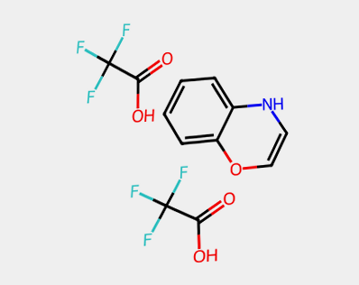 C1=COc2ccccc2N1.O=C(O)C(F)(F)F.O=C(O)C(F)(F)F